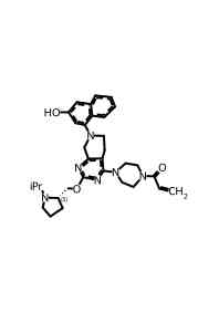 C=CC(=O)N1CCN(c2nc(OC[C@@H]3CCCN3C(C)C)nc3c2CCN(c2cc(O)cc4ccccc24)C3)CC1